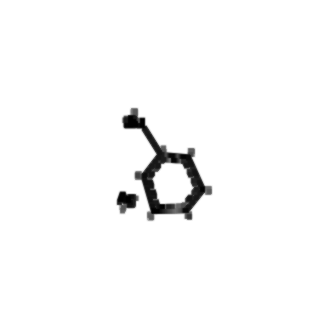 CC(C)(C)c1ccccc1.[Ag]